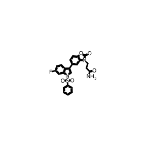 NC(=O)CCn1c(=O)oc2ccc(-c3cn(S(=O)(=O)c4ccccc4)c4cc(F)ccc34)cc21